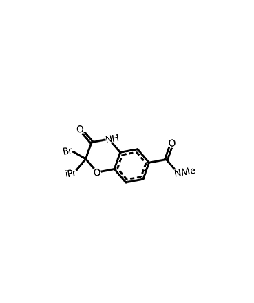 CNC(=O)c1ccc2c(c1)NC(=O)C(Br)(C(C)C)O2